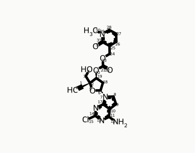 C#C[C@]1(CO)O[C@@H](n2ccc3c(N)nc(Cl)nc32)C[C@@H]1OC(=O)OCc1cccn(C)c1=O